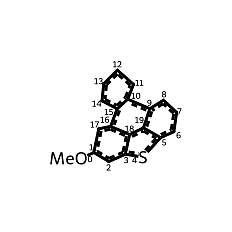 COc1cc2sc3cccc4c5ccccc5c(c1)c2c34